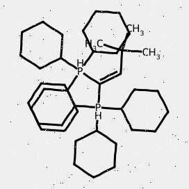 CC(C)(C)C=C([PH](C1CCCCC1)(C1CCCCC1)C1CCCCC1)[PH](C1CCCCC1)(C1CCCCC1)C1CCCCC1